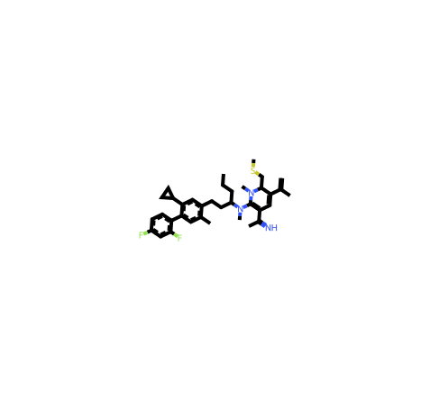 C=C(C)C1=CC(C(C)=N)=C(N(C)C(CCC)CCc2cc(C3CC3)c(-c3ccc(F)cc3F)cc2C)N(C)C1CSC